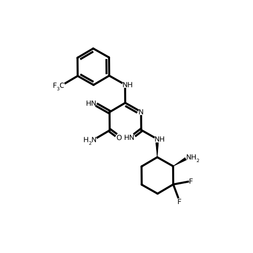 N=C(/N=C(/Nc1cccc(C(F)(F)F)c1)C(=N)C(N)=O)N[C@@H]1CCCC(F)(F)[C@@H]1N